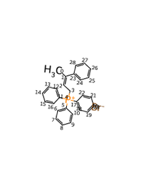 CC(=CC[P+](c1ccccc1)(c1ccccc1)c1ccccc1)c1ccccc1.[Br-]